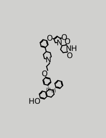 O=C1CCC(N2CC(Oc3cccc(C4CCN(CCCOc5ccc([C@H]6c7ccc(O)cc7CC[C@H]6c6ccccc6)cc5)CC4)c3)=CC2=O)C(=O)N1